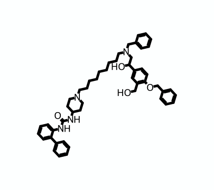 O=C(Nc1ccccc1-c1ccccc1)NC1CCN(CCCCCCCCCN(Cc2ccccc2)CC(O)c2ccc(OCc3ccccc3)c(CO)c2)CC1